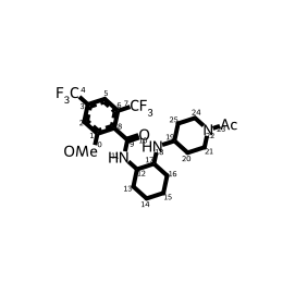 COc1cc(C(F)(F)F)cc(C(F)(F)F)c1C(=O)NC1CCCCC1NC1CCN(C(C)=O)CC1